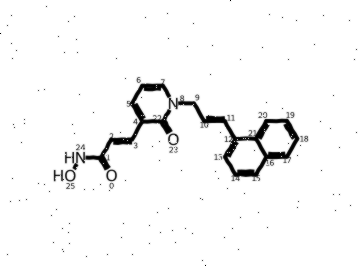 O=C(/C=C/c1cccn(C/C=C/c2cccc3ccccc23)c1=O)NO